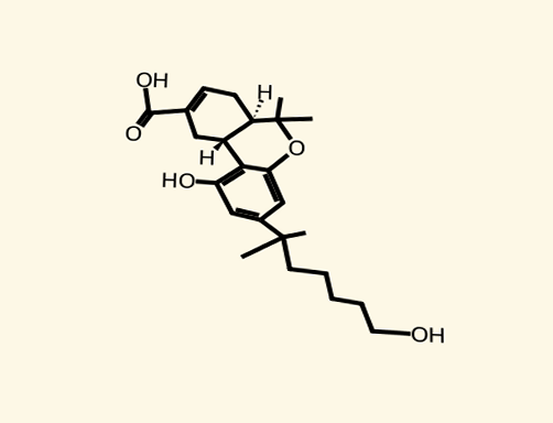 CC(C)(CCCCCO)c1cc(O)c2c(c1)OC(C)(C)[C@@H]1CC=C(C(=O)O)C[C@@H]21